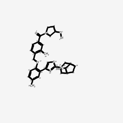 CCOC1CCN(C(=O)c2ccc(COc3ccc(C)cc3-c3csc(N4CC5CCC(C4)C5C(=O)O)n3)c(C)c2)C1